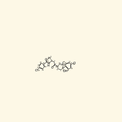 CC(C)C(CC(=O)N1CC[C@](O)(c2ccc(Cl)cc2)C(C)(C)C1)NC(=O)c1ccc(Cl)cc1